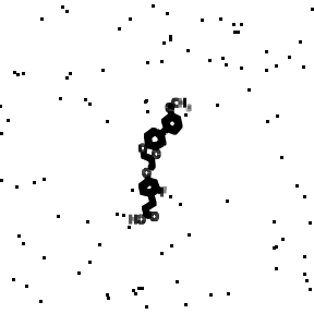 COc1cccc(-c2ccc3c(c2)OC(COc2ccc(CCC(=O)O)c(F)c2)CO3)c1